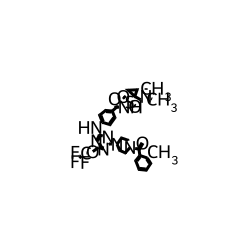 Cc1ccccc1C(=O)N1CCN(c2nc(Nc3ccc(C(=O)NS(=O)(=O)C4(CN(C)C)CC4)cc3)nc(OCC(F)(F)F)n2)CC1